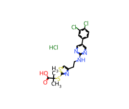 CC(C)(Sc1nc(CCNc2ncc(-c3ccc(Cl)c(Cl)c3)cn2)cs1)C(=O)O.Cl